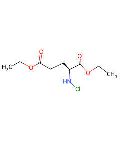 CCOC(=O)CC[C@H](NCl)C(=O)OCC